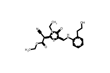 CCOC(=O)C(C#N)=c1sc(=CNc2ccccc2CCO)c(=O)n1CC